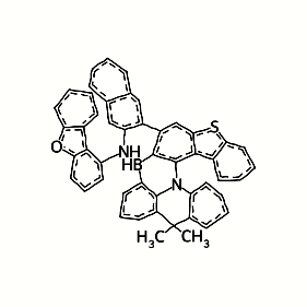 CC1(C)c2ccccc2N2c3c(cccc31)Bc1c(-c3cc4ccccc4cc3Nc3cccc4oc5ccccc5c34)cc3sc4ccccc4c3c12